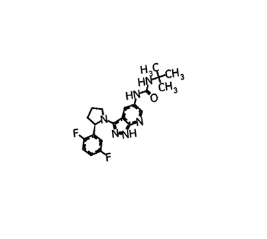 CC(C)(C)NC(=O)Nc1cnc2[nH]nc(N3CCC[C@@H]3c3cc(F)ccc3F)c2c1